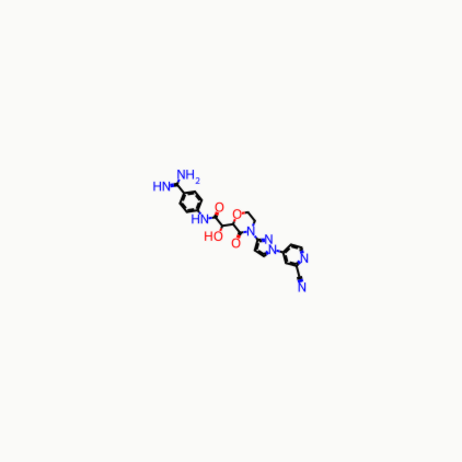 N#Cc1cc(-n2ccc(N3CCOC(C(O)C(=O)Nc4ccc(C(=N)N)cc4)C3=O)n2)ccn1